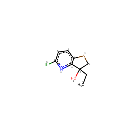 CCC1(O)CSc2ccc(Br)nc21